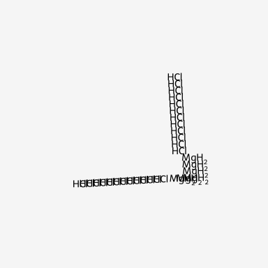 Cl.Cl.Cl.Cl.Cl.Cl.Cl.Cl.Cl.Cl.Cl.Cl.Cl.Cl.Cl.Cl.Cl.Cl.Cl.Cl.Cl.Cl.Cl.Cl.Cl.[MgH2].[MgH2].[MgH2].[MgH2].[MgH2].[MgH2]